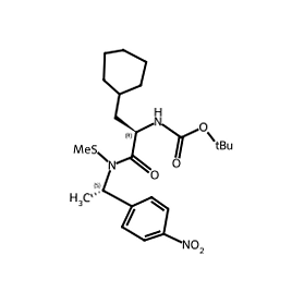 CSN(C(=O)[C@@H](CC1CCCCC1)NC(=O)OC(C)(C)C)[C@@H](C)c1ccc([N+](=O)[O-])cc1